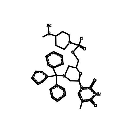 CC(=O)N(C)C1CCN(P(=O)(Cl)OCC2CN(C(c3ccccc3)(c3ccccc3)c3ccccc3)CC(n3cc(C)c(=O)[nH]c3=O)O2)CC1